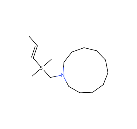 CC=C[Si](C)(C)CN1CCCCCCCCCC1